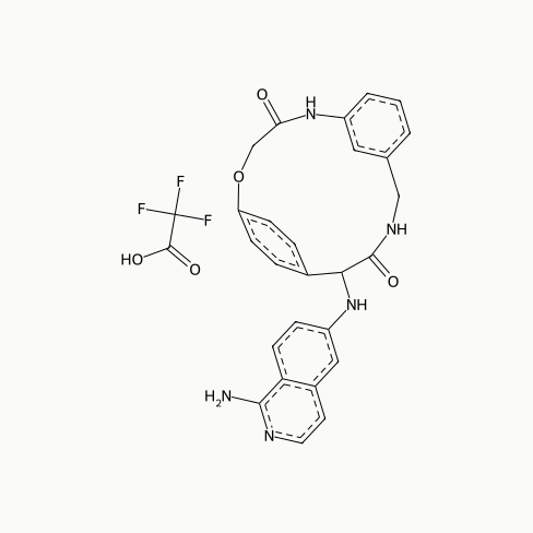 Nc1nccc2cc(NC3C(=O)NCc4cccc(c4)NC(=O)COc4ccc3cc4)ccc12.O=C(O)C(F)(F)F